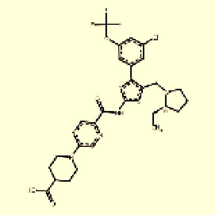 CC[C@@H]1CCCN1Cc1sc(NC(=O)c2cnc(N3CCC(C(=O)O)CC3)cn2)nc1-c1cc(Cl)cc(OC(F)(F)F)c1